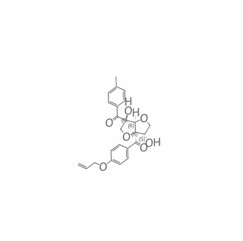 C=CCOc1ccc(C(=O)[C@]23OC[C@](O)(C(=O)c4ccc(C)cc4)[C@H]2OC[C@@H]3O)cc1